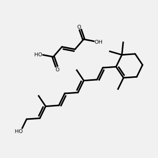 CC1=C(/C=C/C(C)=C/C=C/C(C)=C/CO)C(C)(C)CCC1.O=C(O)/C=C/C(=O)O